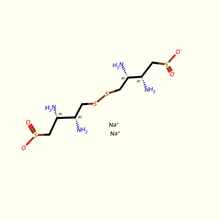 N[C@@H](CSSC[C@H](N)[C@@H](N)CS(=O)[O-])[C@@H](N)CS(=O)[O-].[Na+].[Na+]